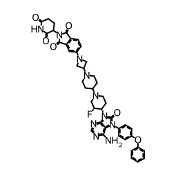 Nc1ncnc2c1n(-c1ccc(Oc3ccccc3)cc1)c(=O)n2[C@@H]1CCN(C2CCN(C3CN(c4ccc5c(c4)C(=O)N(C4CCC(=O)NC4=O)C5=O)C3)CC2)C[C@@H]1F